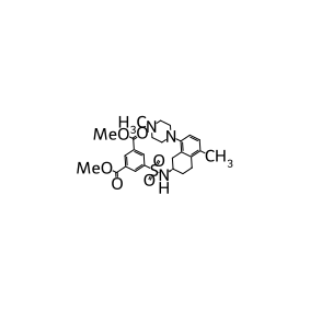 COC(=O)c1cc(C(=O)OC)cc(S(=O)(=O)N[C@@H]2CCc3c(C)ccc(N4CCN(C)CC4)c3C2)c1